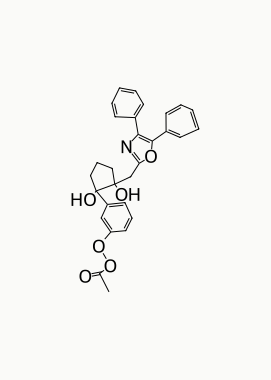 CC(=O)OOc1cccc(C2(O)CCCC2(O)Cc2nc(-c3ccccc3)c(-c3ccccc3)o2)c1